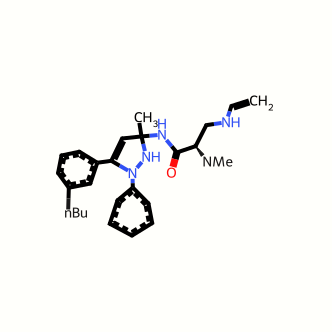 C=CNC[C@@H](NC)C(=O)NC1(C)C=C(c2cccc(CCCC)c2)N(c2ccccc2)N1